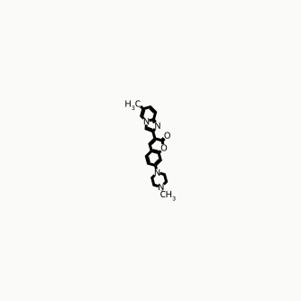 Cc1ccc2nc(-c3cc4ccc(N5CCN(C)CC5)cc4oc3=O)cn2c1